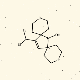 CCC(CC)C1=CC2(CCOCC2)N(O)C12CCOCC2